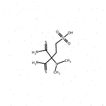 CN(C)C(CCS(=O)(=O)O)(C(N)=S)C(N)=S